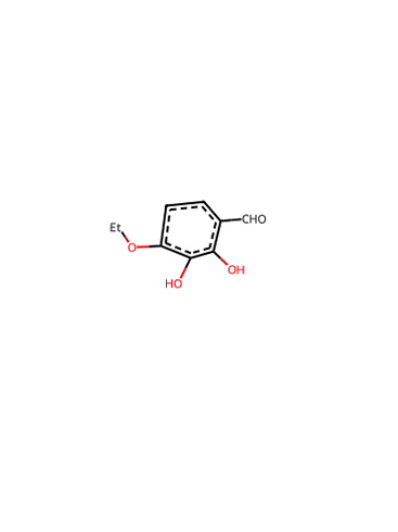 CCOc1ccc(C=O)c(O)c1O